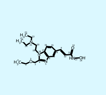 CCOCc1nc2cc(C=CC(=O)NO)ccc2n1CCN(CC)CC